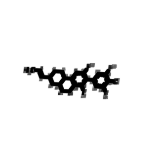 C/C=C/C1CCC2c3cc(F)c(-c4cc(F)c(Cl)c(F)c4)c(F)c3CCC2C1